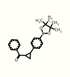 CC1(C)OB(c2ccc(C3CC3C(=O)c3ccccc3)cc2)OC1(C)C